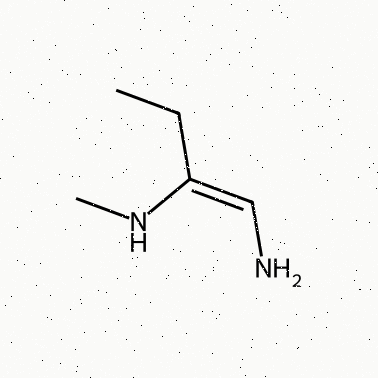 CC/C(=C/N)NC